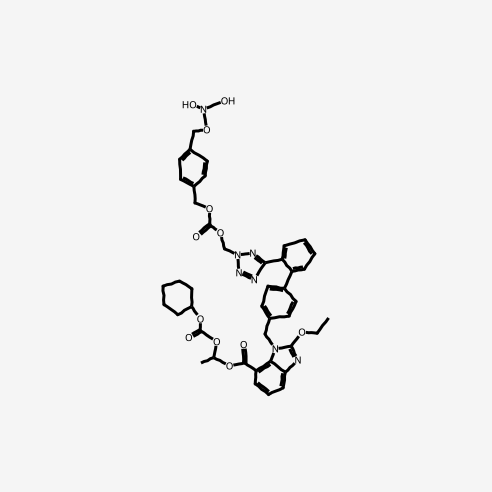 CCOc1nc2cccc(C(=O)OC(C)OC(=O)OC3CCCCC3)c2n1Cc1ccc(-c2ccccc2-c2nnn(COC(=O)OCc3ccc(CON(O)O)cc3)n2)cc1